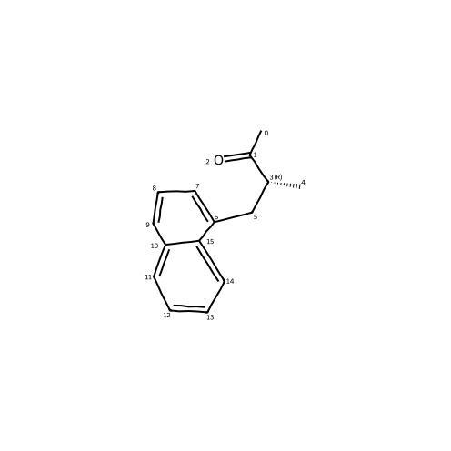 CC(=O)[C@H](C)Cc1cccc2ccccc12